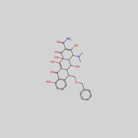 CN(C)C1C(O)=C(C(N)=O)C(=O)C2(O)C(O)=C3C(=O)c4c(O)cccc4C(COCc4ccccc4)C3C(O)C12